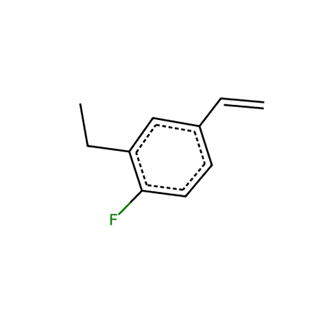 C=Cc1ccc(F)c(CC)c1